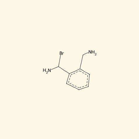 NCc1ccccc1C(N)Br